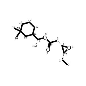 CC[C@H]1O[C@H]1CC(=O)O[C@H](C)C1CCCC(C)(C)C1